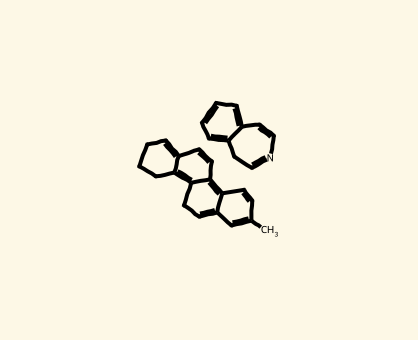 C1=Cc2ccccc2CC=N1.Cc1ccc2c(c1)=CCc1c3c(ccc1=2)=CCCC3